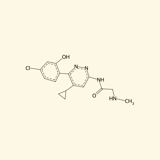 CNCC(=O)Nc1cc(C2CC2)c(-c2ccc(Cl)cc2O)nn1